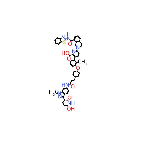 Cc1c(O[C@H]2CC[C@H](CCC(=O)Nc3ccc4c(C5CCC(O)NC5=O)nn(C)c4c3)CC2)cccc1-c1ccc(N2CCc3cccc(C(=O)Nc4nc5ccccc5s4)c3C2)nc1C(=O)O